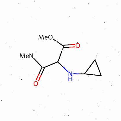 CNC(=O)C(NC1CC1)C(=O)OC